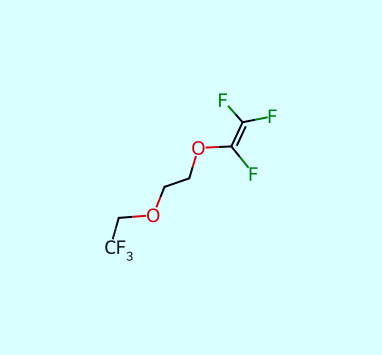 FC(F)=C(F)OCCOCC(F)(F)F